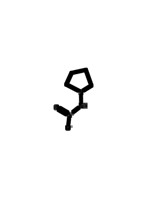 O=[N+]([O-])NN1CCCC1